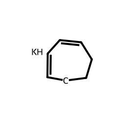 C1=CCCCC=C1.[KH]